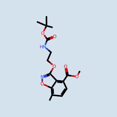 COC(=O)c1ccc(C)c2onc(OCCNC(=O)OC(C)(C)C)c12